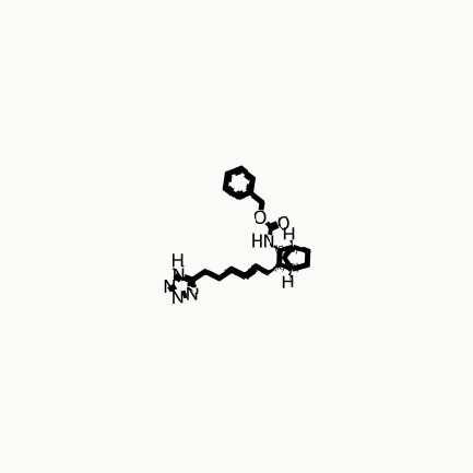 O=C(N[C@H]1[C@H]2CC[C@H](C2)[C@H]1CC=CCCCc1nnn[nH]1)OCc1ccccc1